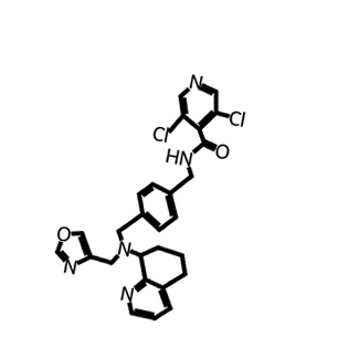 O=C(NCc1ccc(CN(Cc2cocn2)C2CCCc3cccnc32)cc1)c1c(Cl)cncc1Cl